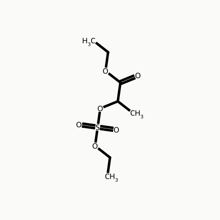 CCOC(=O)C(C)OS(=O)(=O)OCC